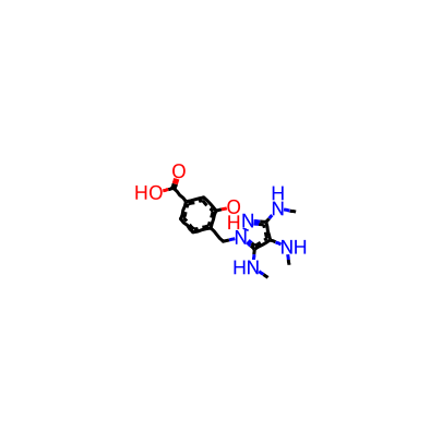 CNc1nn(Cc2ccc(C(=O)O)cc2O)c(NC)c1NC